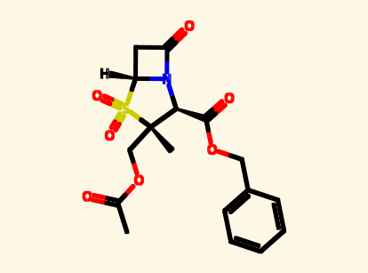 CC(=O)OC[C@@]1(C)[C@H](C(=O)OCc2ccccc2)N2C(=O)C[C@H]2S1(=O)=O